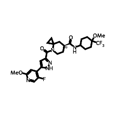 COc1cc(-c2cc(C(=O)N3CC[C@H](C(=O)NC4CCC(OC)(C(F)(F)F)CC4)CC34CC4)n[nH]2)c(F)cn1